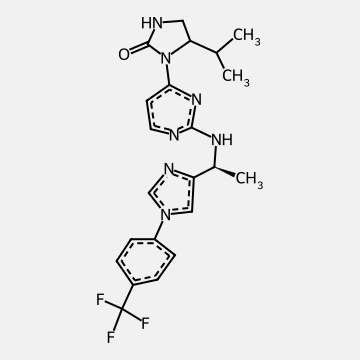 CC(C)C1CNC(=O)N1c1ccnc(N[C@@H](C)c2cn(-c3ccc(C(F)(F)F)cc3)cn2)n1